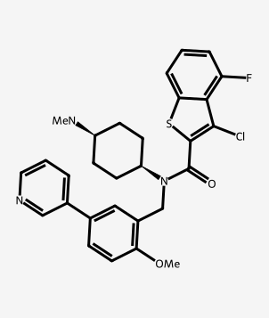 CN[C@H]1CC[C@@H](N(Cc2cc(-c3cccnc3)ccc2OC)C(=O)c2sc3cccc(F)c3c2Cl)CC1